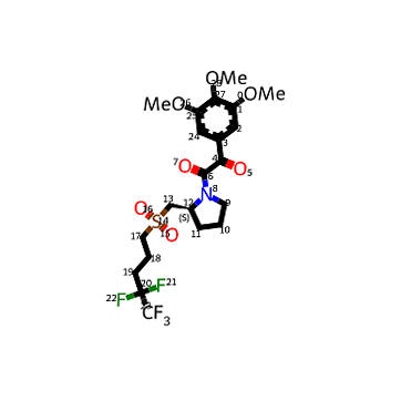 COc1cc(C(=O)C(=O)N2CCC[C@H]2CS(=O)(=O)CCCC(F)(F)C(F)(F)F)cc(OC)c1OC